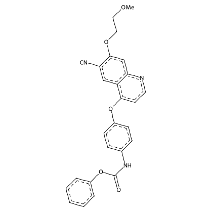 [C-]#[N+]c1cc2c(Oc3ccc(NC(=O)Oc4ccccc4)cc3)ccnc2cc1OCCOC